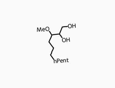 CCCCCCCCC(OC)C(O)CO